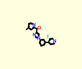 Cc1ccnc(C(=O)c2cn(-c3cccc(-c4ccncc4F)c3)cn2)c1